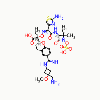 CO[C@]1(CN)C[C@@H](NC(=N)c2ccc3c(c2)CC[C@H]([C@](C)(O/N=C(\C(=O)N[C@@H]2C(=O)N(OS(=O)(=O)O)C2(C)C)c2csc(N)n2)C(=O)O)O3)C1